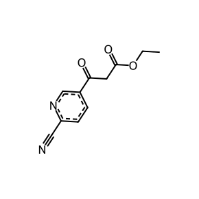 CCOC(=O)CC(=O)c1ccc(C#N)nc1